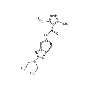 CCN(CC)c1nc2ccc(NC(=O)c3c(C=O)cnn3C)cn2n1